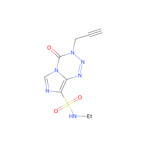 C#CCn1nnc2c(S(=O)(=O)NCC)ncn2c1=O